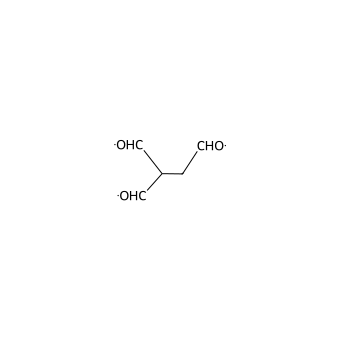 O=[C]CC([C]=O)[C]=O